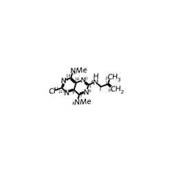 C=C(C)CNc1nc(NC)c2nc(Cl)nc(NC)c2n1